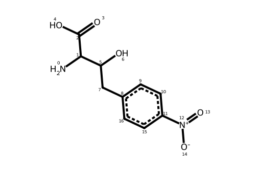 NC(C(=O)O)C(O)Cc1ccc([N+](=O)[O-])cc1